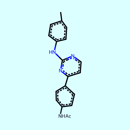 CC(=O)Nc1ccc(-c2ccnc(Nc3ccc(C)cc3)n2)cc1